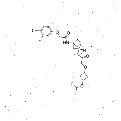 O=C(COC1CC(OC(F)F)C1)N[C@@H]1CC2(NC(=O)COc3ccc(Cl)c(F)c3)CC1C2